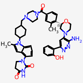 Cc1cc(C(=O)N2CCN(CC3CCC(n4c(C)cc5c(N6CCC(=O)NC6=O)cccc54)CC3)CC2)ccc1[C@H]1CN(c2cc(-c3ccccc3O)nnc2N)CCO1